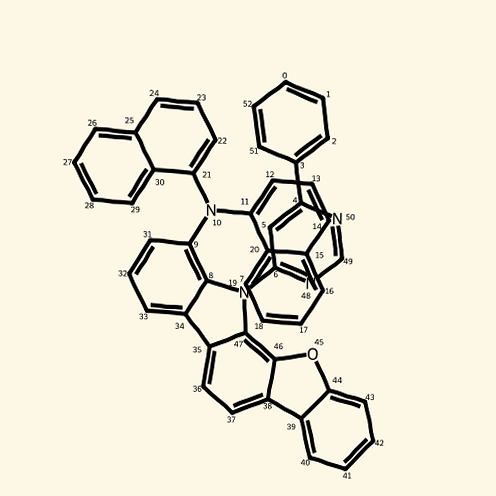 c1ccc(-c2cc(-n3c4c(N(c5cccc6ccccc56)c5cccc6ccccc56)cccc4c4ccc5c6ccccc6oc5c43)ncn2)cc1